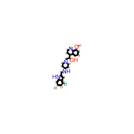 COc1cccc2c([C@@H](O)CN3CCC(NCc4cc5c(F)cc(F)cc5[nH]4)CC3)ccnc12